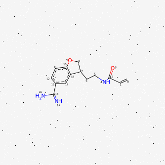 C=CC(=O)NCCC1COc2ccc(C(=N)N)cc21